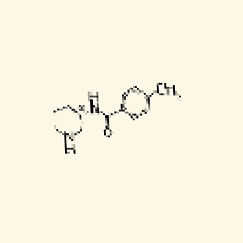 Cc1ccc(C(=O)N[C@H]2CCCNC2)cc1